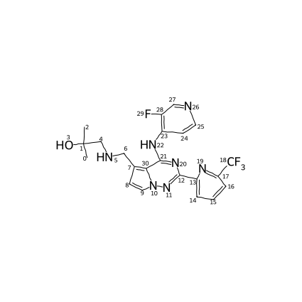 CC(C)(O)CNCc1ccn2nc(-c3cccc(C(F)(F)F)n3)nc(Nc3ccncc3F)c12